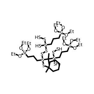 CCO[Si](CCCS(S)(SS)SSS(CCC[Si](OCC)(OCC)OCC)(SC1(C)CCCCC1)C(C)(C)S(S)(CCC[Si](OCC)(OCC)OCC)SS)(OCC)OCC